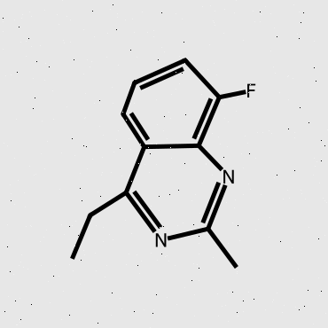 CCc1nc(C)nc2c(F)cccc12